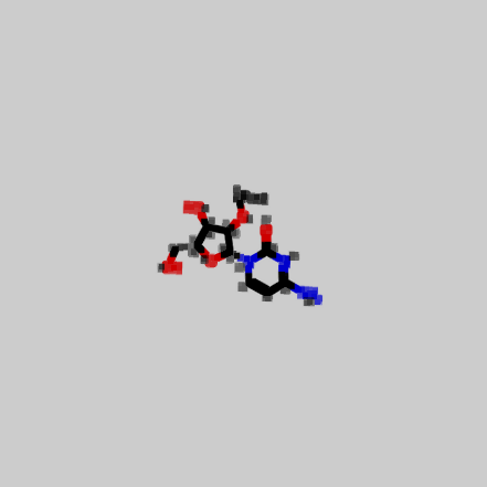 CCCCCO[C@@H]1[C@H](O)[C@@H](CO)O[C@H]1n1ccc(N)nc1=O